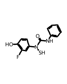 O=C(Nc1ccccc1)N(S)c1ccc(O)c(F)c1